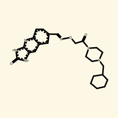 O=C(CON=Cc1ccc2nc3[nH]c(=O)[nH]c3cc2c1)N1CCN(CC2CCCCC2)CC1